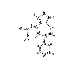 Cc1cc2c(cc1F)-n1c(C)cnc1CN=C2c1cccnc1